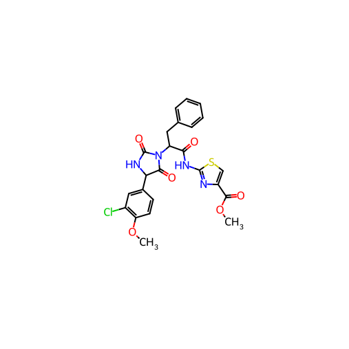 COC(=O)c1csc(NC(=O)C(Cc2ccccc2)N2C(=O)NC(c3ccc(OC)c(Cl)c3)C2=O)n1